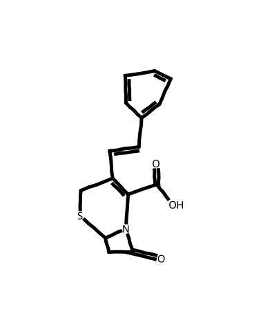 O=C(O)C1=C(C=Cc2ccccc2)CSC2CC(=O)N12